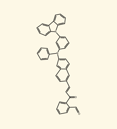 O=Cc1ccccc1C(=O)C=Cc1ccc2cc(N(c3ccccc3)c3cccc(-n4c5ccccc5c5ccccc54)c3)ccc2c1